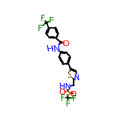 O=C(Nc1ccc(-c2cnc(CNS(=O)(=O)C(F)(F)F)s2)cc1)c1ccc(C(F)(F)F)cc1